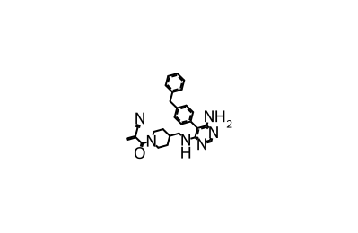 C=C(C#N)C(=O)N1CCC(CNc2ncnc(N)c2-c2ccc(Cc3ccccc3)cc2)CC1